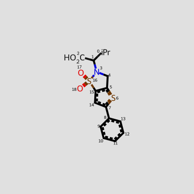 CC(C)C(C(=O)O)N1Cc2sc(-c3ccccc3)cc2S1(=O)=O